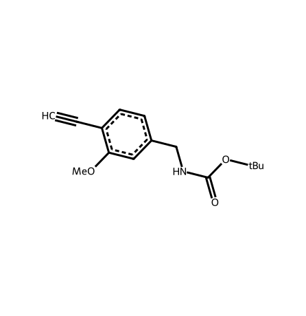 C#Cc1ccc(CNC(=O)OC(C)(C)C)cc1OC